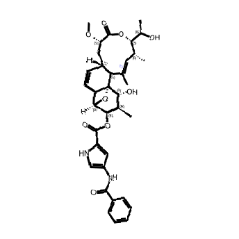 CO[C@H]1C[C@H]2C=CC3C4[C@H](O)[C@@H](C)[C@@H](OC(=O)c5cc(NC(=O)c6ccccc6)c[nH]5)[C@@H]3O[C@]42/C(C)=C/[C@@H](C)[C@@H]([C@@H](C)O)OC1=O